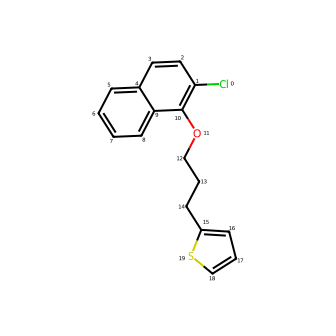 Clc1ccc2ccccc2c1OCCCc1cccs1